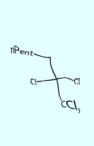 CCCCCCC(Cl)(Cl)C(Cl)(Cl)Cl